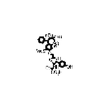 CCCCC1(CCCC)CC(c2ccccc2)c2cc(SC)c(OCC(=O)N[C@@H](C(=O)N[C@@H](CC)C(=O)O)c3ccc(O)cc3)cc2S(=O)(=O)C1